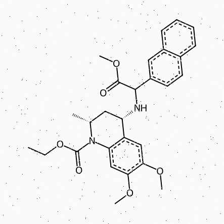 CCOC(=O)N1c2cc(OC)c(OC)cc2[C@@H](NC(C(=O)OC)c2ccc3ccccc3c2)C[C@H]1C